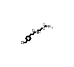 NC(=O)OCCCNC(=O)CCc1ccc(CCl)cc1